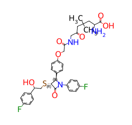 CC(C)(CC(=O)CNC(=O)COc1ccc([C@@H]2[C@@H](SCC(O)c3ccc(F)cc3)C(=O)N2c2ccc(F)cc2)cc1)CC(N)C(=O)O